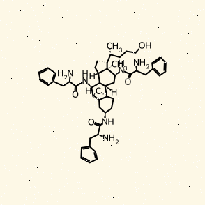 C[C@H](CCCO)[C@H]1CC[C@H]2C3[C@H](NC(=O)C(N)Cc4ccccc4)CC4C[C@H](NC(=O)[C@@H](N)Cc5ccccc5)CC[C@]4(C)[C@H]3C[C@H](NC(=O)[C@@H](N)Cc3ccccc3)[C@]12C